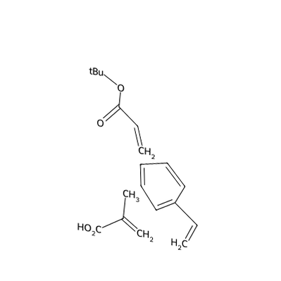 C=C(C)C(=O)O.C=CC(=O)OC(C)(C)C.C=Cc1ccccc1